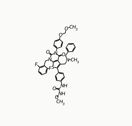 COCOc1ccc(-n2c(=O)c3c(CN(C)Cc4ccccc4)c(-c4ccc(NC(=O)NOC)cc4)sc3n(Cc3c(F)cccc3F)c2=O)cc1